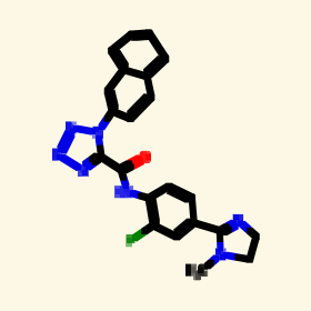 CN1CCN=C1c1ccc(NC(=O)c2nnnn2-c2ccc3ccccc3c2)c(F)c1